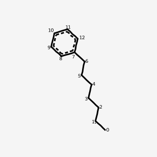 C[CH]CCCCCc1ccccc1